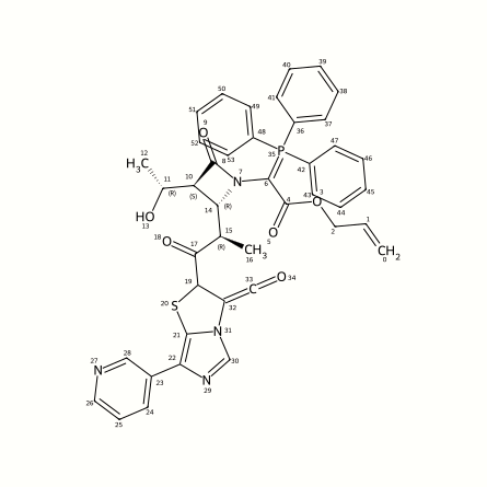 C=CCOC(=O)C(N1C(=O)[C@H]([C@@H](C)O)[C@H]1[C@@H](C)C(=O)C1Sc2c(-c3cccnc3)ncn2C1=C=O)=P(c1ccccc1)(c1ccccc1)c1ccccc1